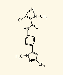 Cn1nc(C(F)(F)F)cc1-c1ccc(NC(=O)c2c(Cl)cnn2C)cc1